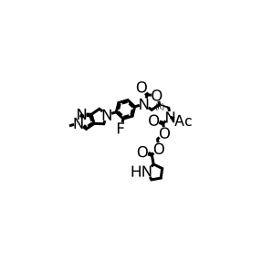 CC(=O)N(C[C@H]1CN(c2ccc(N3Cc4cn(C)nc4C3)c(F)c2)C(=O)O1)C(=O)OCOC(=O)C1CCCN1